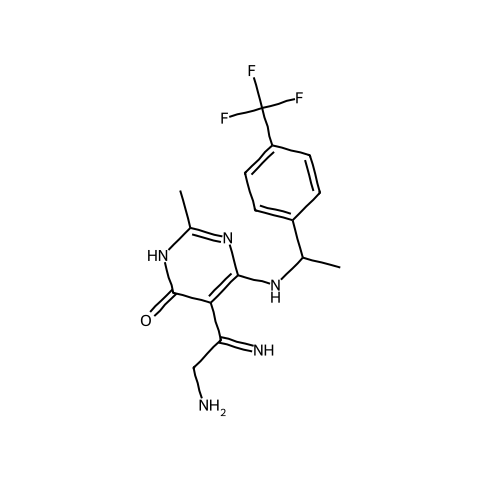 Cc1nc(NC(C)c2ccc(C(F)(F)F)cc2)c(C(=N)CN)c(=O)[nH]1